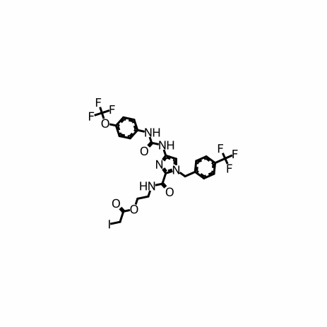 O=C(Nc1ccc(OC(F)(F)F)cc1)Nc1cn(Cc2ccc(C(F)(F)F)cc2)c(C(=O)NCCOC(=O)CI)n1